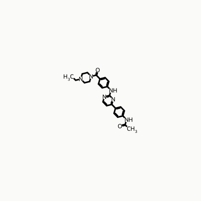 CCN1CCN(C(=O)c2ccc(Nc3nccc(-c4ccc(NC(C)=O)cc4)n3)cc2)CC1